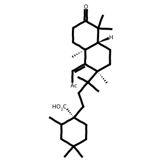 CC(=O)/C=C1/[C@@]2(C)CCC(=O)C(C)(C)[C@@H]2CC[C@@]1(C)C(C)(C)CC[C@@]1(C(=O)O)CCC(C)(C)CC1C